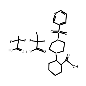 O=C(O)C(F)(F)F.O=C(O)C(F)(F)F.O=C(O)C1CCCCC1N1CCN(S(=O)(=O)c2cccnc2)CC1